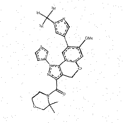 [2H]C([2H])([2H])n1cc(-c2cc3c(cc2OC)OCc2c(C(=O)N4CCOCC4(C)C)nn(-c4ccsc4)c2-3)cn1